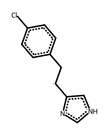 Clc1ccc(C[CH]c2c[nH]cn2)cc1